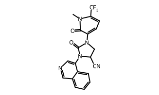 Cn1c(C(F)(F)F)ccc(N2CC(C#N)N(c3cncc4ccccc34)C2=O)c1=O